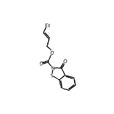 CCC=CCOC(=O)n1sc2ccccc2c1=O